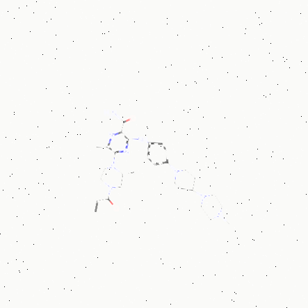 C=CC(=O)N1CCN(c2nc(Nc3ccc(N4CCC(N5CCN(C)CC5)CC4)cc3)c(C(N)=O)nc2CC)[C@@H](C)C1